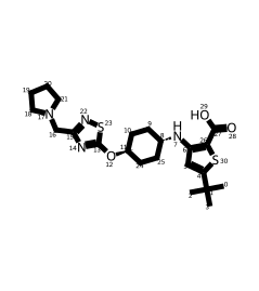 CC(C)(C)c1cc(N[C@H]2CC[C@H](Oc3nc(CN4CCCC4)ns3)CC2)c(C(=O)O)s1